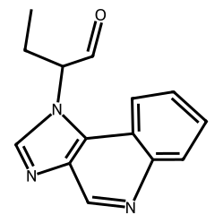 CCC(C=O)n1cnc2cnc3ccccc3c21